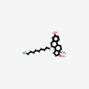 C[C@]12CCC3c4ccc(O)cc4C[C@@H](CCCCCCCCCBr)C3C1CC[C@@H]2O